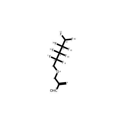 C=C(C=O)COCC(F)(F)C(F)(F)C(F)(F)C(F)F